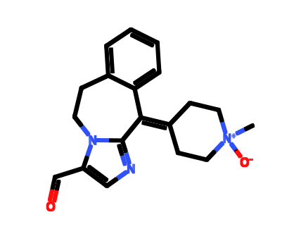 C[N+]1([O-])CCC(=C2c3ccccc3CCn3c(C=O)cnc32)CC1